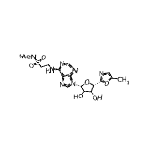 CNS(=O)(=O)CCNc1ncnc2c1ncn2[C@@H]1O[C@H](c2ncc(C)o2)[C@@H](O)[C@H]1O